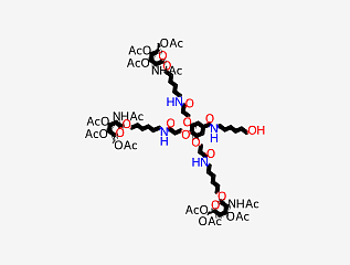 CC(=O)N[C@H]1[C@H](OCCCCCCNC(=O)CCOC2[C@H](OCCC(=O)NCCCCCCO[C@@H]3O[C@H](COC(C)=O)[C@H](OC(C)=O)[C@H](OC(C)=O)[C@H]3NC(C)=O)CC(C(=O)NCCCCCCO)C[C@H]2OCCC(=O)NCCCCCCO[C@@H]2O[C@H](COC(C)=O)[C@H](OC(C)=O)[C@H](OC(C)=O)[C@H]2NC(C)=O)O[C@H](COC(C)=O)[C@H](OC(C)=O)[C@@H]1OC(C)=O